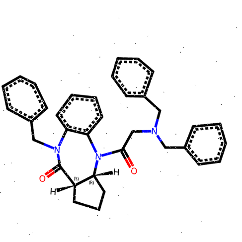 O=C1[C@H]2CCC[C@H]2N(C(=O)CN(Cc2ccccc2)Cc2ccccc2)c2ccccc2N1Cc1ccccc1